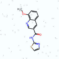 COc1cccc2cc(C(=O)Nc3nccs3)cnc12